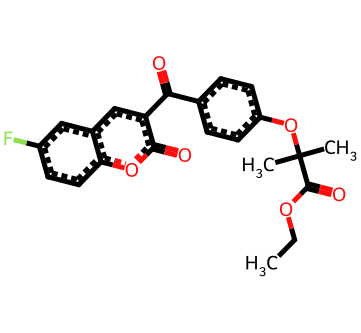 CCOC(=O)C(C)(C)Oc1ccc(C(=O)c2cc3cc(F)ccc3oc2=O)cc1